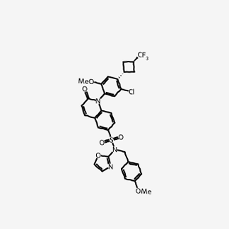 COc1ccc(CN(c2ncco2)S(=O)(=O)c2ccc3c(ccc(=O)n3-c3cc(Cl)c([C@H]4C[C@H](C(F)(F)F)C4)cc3OC)c2)cc1